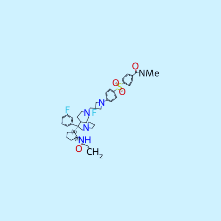 C=CC(=O)N[C@H]1CCC[C@@H]1C(CN1CCC1)(c1cccc(F)c1)C1CCN(CC2(F)CN(c3ccc(S(=O)(=O)c4ccc(C(=O)NC)cc4)cc3)C2)CC1